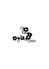 COc1cc2ncnc(Nc3cccc(Cl)c3F)c2cc1O[C@@H]1C[C@@H](C(=O)NC2CCCC2)N(C)C1